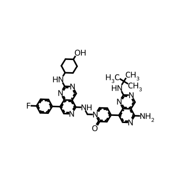 CC(C)(C)Nc1ncc2c(N)ncc(-c3ccn(CNc4ncc(-c5ccc(F)cc5)c5nc(NC6CCC(O)CC6)ncc45)c(=O)c3)c2n1